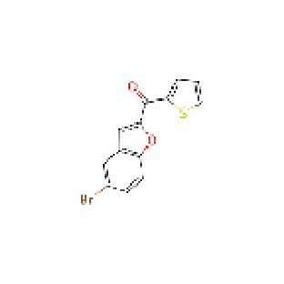 O=C(c1cc2cc(Br)ccc2o1)c1cccs1